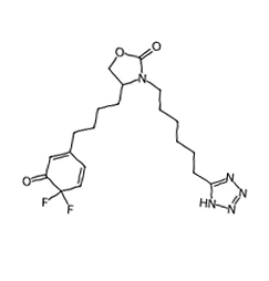 O=C1OCC(CCCCC2=CC(=O)C(F)(F)C=C2)N1CCCCCCc1nnn[nH]1